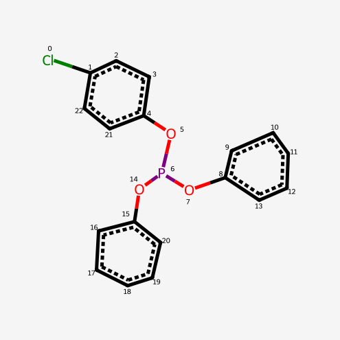 Clc1ccc(OP(Oc2ccccc2)Oc2ccccc2)cc1